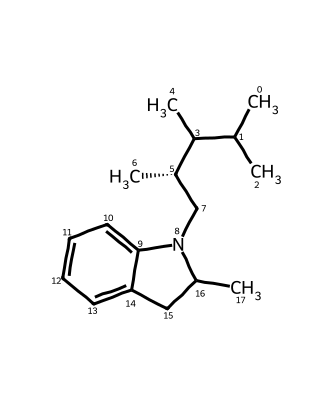 CC(C)C(C)[C@@H](C)CN1c2ccccc2CC1C